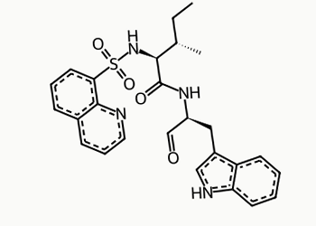 CC[C@H](C)[C@H](NS(=O)(=O)c1cccc2cccnc12)C(=O)N[C@H](C=O)Cc1c[nH]c2ccccc12